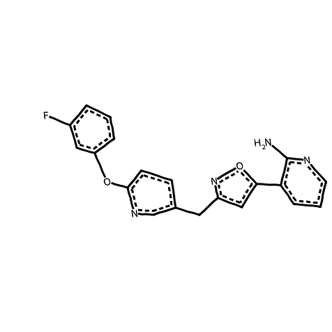 Nc1ncccc1-c1cc(Cc2ccc(Oc3cccc(F)c3)nc2)no1